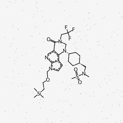 CN(C[C@H]1CC[C@H](N2CN(CC(F)(F)F)C(=O)c3cnc4c(ccn4COCC[Si](C)(C)C)c32)CC1)S(C)(=O)=O